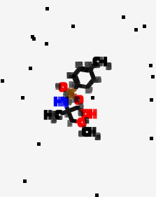 COCC(C)(CO)NS(=O)(=O)C1=CC=C(C)CC1